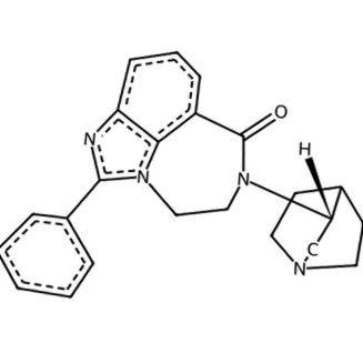 O=C1c2cccc3nc(-c4ccccc4)n(c23)CCN1[C@H]1CN2CCC1CC2